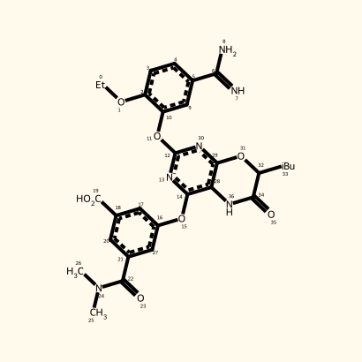 CCOc1ccc(C(=N)N)cc1Oc1nc(Oc2cc(C(=O)O)cc(C(=O)N(C)C)c2)c2c(n1)OC(C(C)CC)C(=O)N2